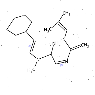 C=C(/N=C\C(N)N(C)/C=C/C1CCCCC1)NC=C(C)C